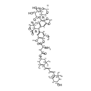 COc1cc([C@@H]2c3cc4c(cc3[C@@H](OC3O[C@@H]5CO[C@@H](C)O[C@H]5[C@H](O)[C@H]3O)[C@H]3COC(=O)[C@H]23)OCO4)cc(OC)c1OC(=O)C(N)CC(=O)O[C@@H]1CC(C)=C(/C=C/C=C/C2=C(C)C[C@@H](O)CC2(C)C)C(C)(C)C1